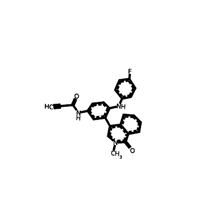 C#CC(=O)Nc1ccc(Nc2ccc(F)cc2)c(-c2cn(C)c(=O)c3ccccc23)c1